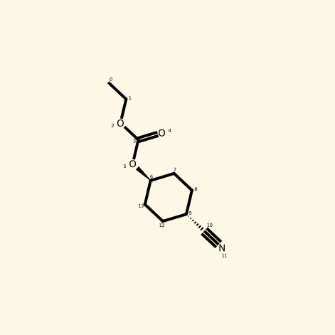 CCOC(=O)O[C@H]1CC[C@H](C#N)CC1